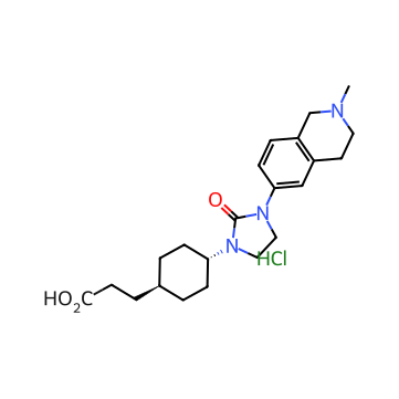 CN1CCc2cc(N3CCN([C@H]4CC[C@H](CCC(=O)O)CC4)C3=O)ccc2C1.Cl